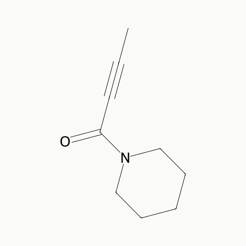 CC#CC(=O)N1CCCCC1